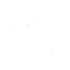 O=C(O)c1cc([S+]([O-])C(F)(F)P)cc(C(F)(F)P)c1